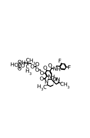 CC1=NO[C@@]2(CC[C@H](C)N3C[C@H]2n2cc(C(=O)NCc4ccc(F)cc4F)c(=O)c(OCOC(=O)OCC(C)(C)COP(=O)(O)O)c2C3=O)C1